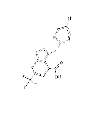 O=C(O)c1cc(C(F)(F)F)cc2ccn(Cc3ccc(Cl)cn3)c12